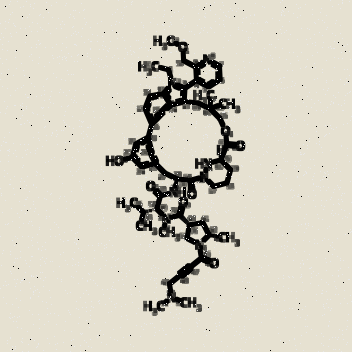 CCn1c(-c2cccnc2COC)c2c3cc(ccc31)-c1cc(O)cc(c1)C[C@H](NC(=O)[C@@H](C(C)C)N(C)C(=O)[C@H]1C[C@@H](C)N(C(=O)C#CCN(C)C)C1)C(=O)N1CCC[C@H](N1)C(=O)OCC(C)(C)C2